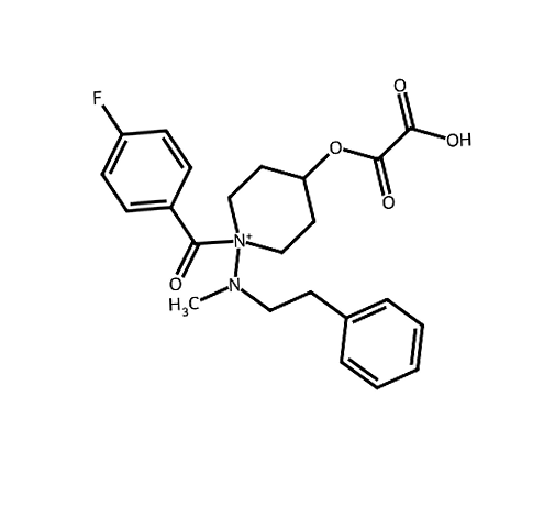 CN(CCc1ccccc1)[N+]1(C(=O)c2ccc(F)cc2)CCC(OC(=O)C(=O)O)CC1